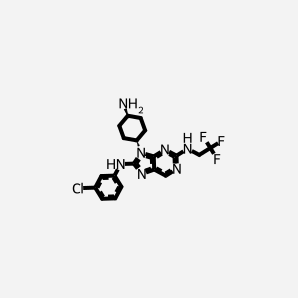 N[C@H]1CC[C@H](n2c(Nc3cccc(Cl)c3)nc3cnc(NCC(F)(F)F)nc32)CC1